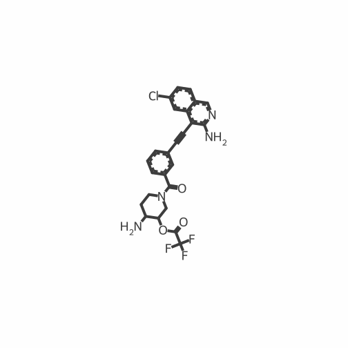 Nc1ncc2ccc(Cl)cc2c1C#Cc1cccc(C(=O)N2CCC(N)C(OC(=O)C(F)(F)F)C2)c1